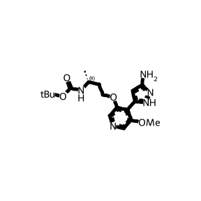 COc1cncc(OCC[C@@H](C)NC(=O)OC(C)(C)C)c1-c1cc(N)n[nH]1